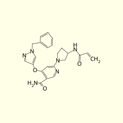 C=CC(=O)NC1CCN(c2cc(Oc3cnn(Cc4ccccc4)c3)c(C(N)=O)cn2)C1